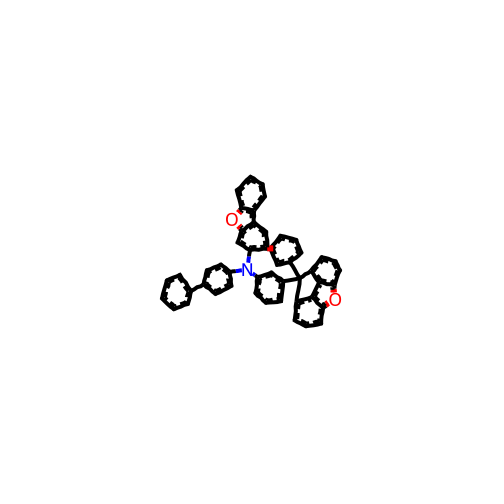 c1ccc(-c2ccc(N(c3cccc(C4(c5ccccc5)c5cccc6oc7cccc4c7c56)c3)c3ccc4c(c3)oc3ccccc34)cc2)cc1